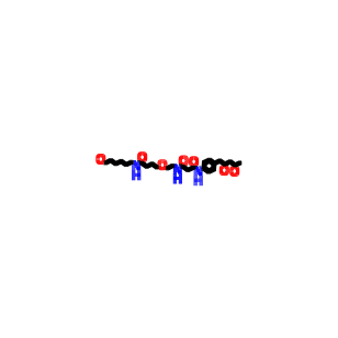 CC(=O)CC(=O)Cc1ccc(NC(=O)CC(=O)NCCOCCCC(=O)NCCCCCC=O)cc1